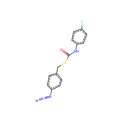 [N-]=[N+]=Nc1ccc(CSC(=O)Nc2ccc(F)cc2)cc1